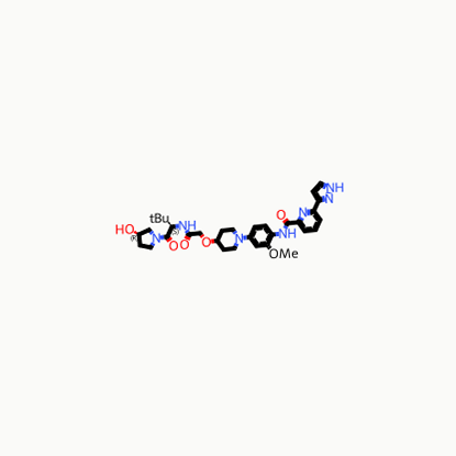 COc1cc(N2CCC(OCC(=O)N[C@H](C(=O)N3CC[C@@H](O)C3)C(C)(C)C)CC2)ccc1NC(=O)c1cccc(-c2cc[nH]n2)n1